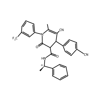 CC1=C(C#N)C(c2ccc(C#N)cc2)C(C(=O)N[C@H](C)c2ccccc2)C(=O)N1c1cccc(C(F)(F)F)c1